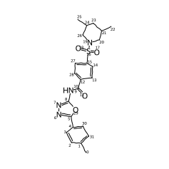 Cc1ccc(-c2nnc(NC(=O)c3ccc(S(=O)(=O)N4CC(C)CC(C)C4)cc3)o2)cc1